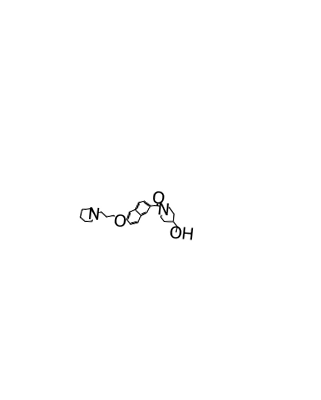 O=C(c1ccc2cc(OCCCN3CCCCC3)ccc2c1)N1CCC(CO)CC1